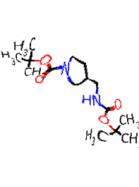 CC(C)(C)OC(=O)NC[C@@H]1CCN(C(=O)OC(C)(C)C)C1